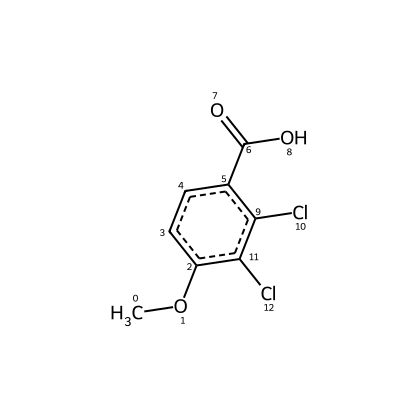 COc1ccc(C(=O)O)c(Cl)c1Cl